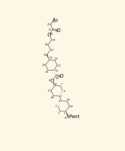 CCCCC[C@H]1CC[C@H]([C@H]2CC[C@H](OC(=O)[C@H]3CC[C@H](CCCCOC(=O)CC(C)=O)CC3)CC2)CC1